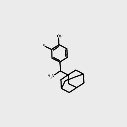 NC(c1ccc(O)c(F)c1)C12CC3CC(CC(C3)C1)C2